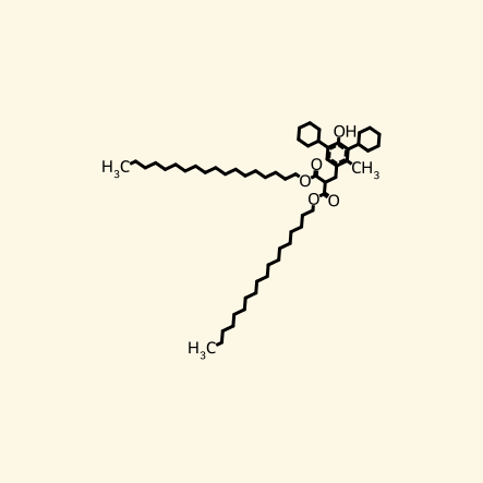 CCCCCCCCCCCCCCCCCCOC(=O)C(Cc1cc(C2CCCCC2)c(O)c(C2CCCCC2)c1C)C(=O)OCCCCCCCCCCCCCCCCCC